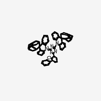 c1ccc2c(c1)N(c1nc(-c3cccc4c3oc3ccccc34)nc(N3c4ccccc4C4(c5ccccc53)C3CC5CC(C3)CC4C5)n1)c1ccccc1C21C2CC3CC(C2)CC1C3